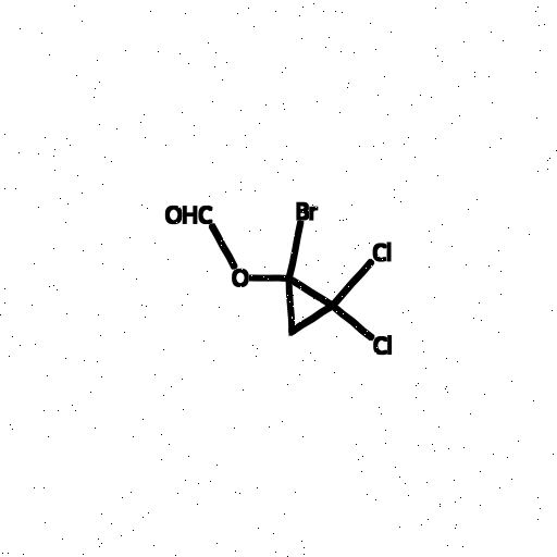 O=COC1(Br)CC1(Cl)Cl